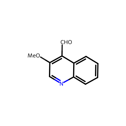 COc1cnc2ccccc2c1C=O